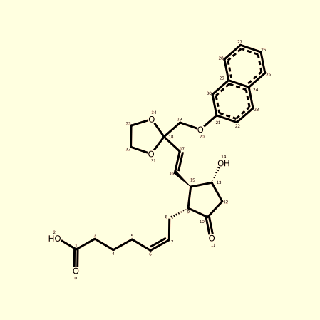 O=C(O)CCC/C=C\C[C@H]1C(=O)C[C@@H](O)[C@@H]1/C=C/C1(COc2ccc3ccccc3c2)OCCO1